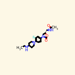 CCNC1CCN(c2ccc(N3C[C@H](CNC(C)=O)OC3=O)cc2F)CC1